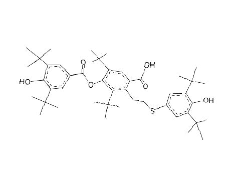 CC(C)(C)c1cc(SCCc2c(C(=O)O)cc(C(C)(C)C)c(OC(=O)c3cc(C(C)(C)C)c(O)c(C(C)(C)C)c3)c2C(C)(C)C)cc(C(C)(C)C)c1O